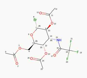 CC(=O)OC[C@H]1O[C@H](Br)[C@@H](OC(C)=O)[C@H](NC(=O)C(F)(F)F)[C@@H]1OC(C)=O